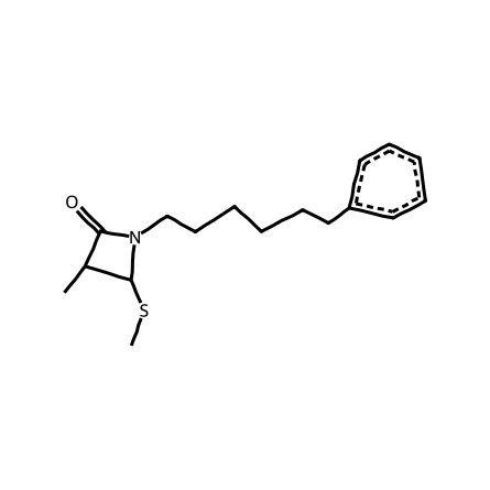 CSC1C(C)C(=O)N1CCCCCCc1ccccc1